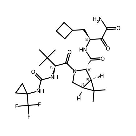 CC(C)(C)[C@H](NC(=O)NC1(C(F)(F)F)CC1)C(=O)N1C[C@H]2[C@@H]([C@H]1C(=O)N[C@@H](CC1CCC1)C(=O)C(N)=O)C2(C)C